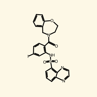 O=C(c1ccc(I)cc1NS(=O)(=O)c1cccc2nccnc12)N1CCOc2ccccc2C1